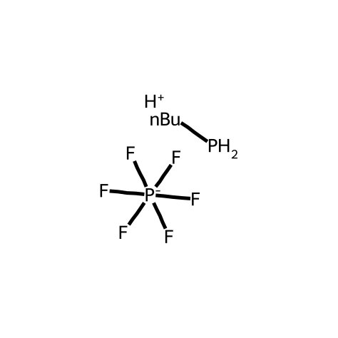 CCCCP.F[P-](F)(F)(F)(F)F.[H+]